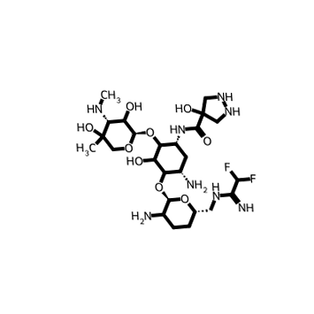 CN[C@@H]1C(O)[C@@H](OC2C(O)C(O[C@H]3O[C@H](CNC(=N)C(F)F)CCC3N)[C@@H](N)C[C@H]2NC(=O)C2(O)CNNC2)OCC1(C)O